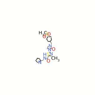 Cc1nc(N2CCN(Cc3ccc(S(C)(=O)=O)cc3)C2=O)sc1C(=O)NCc1ccccn1